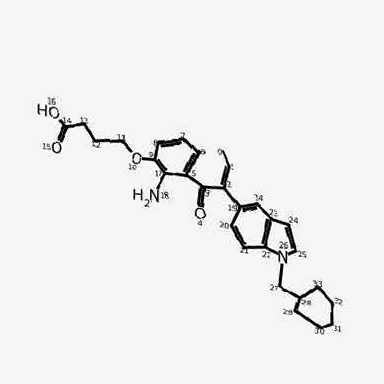 CC=C(C(=O)c1cccc(OCCCC(=O)O)c1N)c1ccc2c(ccn2CC2CCCCC2)c1